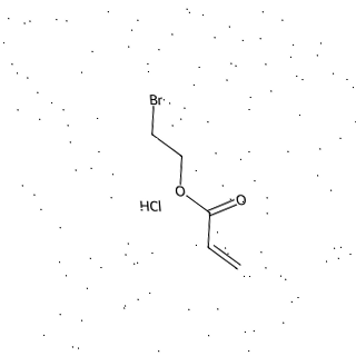 C=CC(=O)OCCBr.Cl